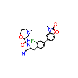 CN1CCCO[C@H](C(=O)N[C@H](C#N)Cc2ccc(-c3ccc4oc(=O)n(C)c4c3)cc2F)C1